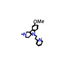 COc1ccc2c(c1)c1c(n2CCc2ccccn2)CCN(C)C1